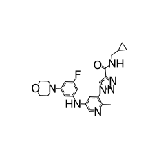 Cc1ncc(Nc2cc(F)cc(N3CCOCC3)c2)cc1-n1cc(C(=O)NCC2CC2)nn1